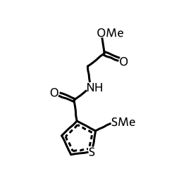 COC(=O)CNC(=O)c1ccsc1SC